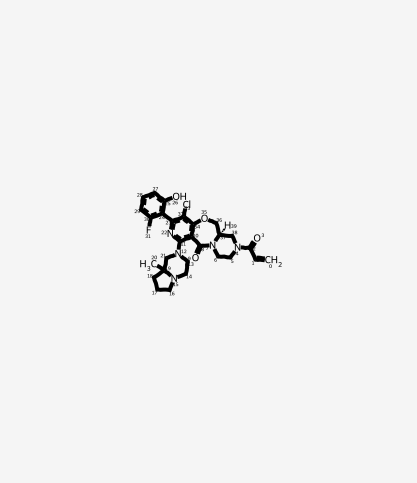 C=CC(=O)N1CCN2C(=O)c3c(N4CCN5CCCC5(C)C4)nc(-c4c(O)cccc4F)c(Cl)c3OC[C@H]2C1